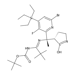 CC[Si](CC)(CC)c1cc(Br)nc([C@@](C)(/N=C(/NC(=O)OC(C)(C)C)C(C)(C)C)[C@@H]2CCN=S2O)c1F